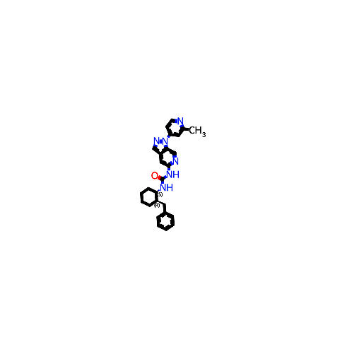 Cc1cc(-n2ncc3cc(NC(=O)N[C@H]4CCCC[C@@H]4Cc4ccccc4)ncc32)ccn1